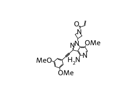 C=CC(=O)N1CC(n2nc(C#Cc3cc(OC)cc(OC)c3)c3c(N)ncc(OC)c32)C1